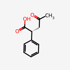 CC(=O)C[C@@H](C(=O)O)c1ccccc1